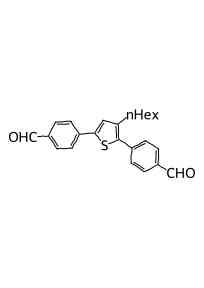 CCCCCCc1cc(-c2ccc(C=O)cc2)sc1-c1ccc(C=O)cc1